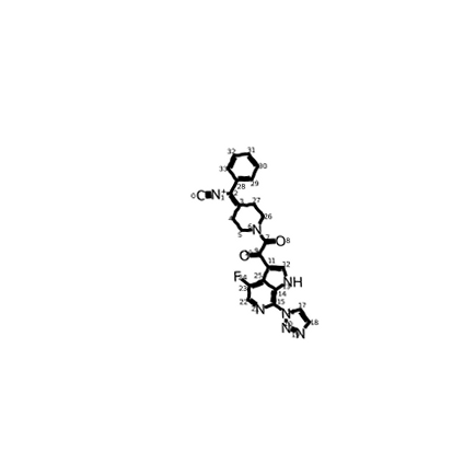 [C-]#[N+]C(=C1CCN(C(=O)C(=O)c2c[nH]c3c(-n4ccnn4)ncc(F)c23)CC1)c1ccccc1